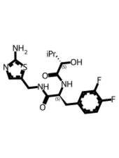 CC(C)[C@H](O)C(=O)N[C@@H](Cc1ccc(F)c(F)c1)C(=O)NCc1cnc(N)s1